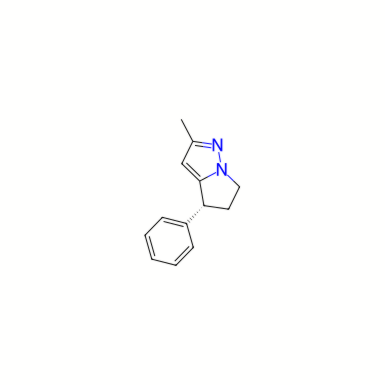 Cc1cc2n(n1)CC[C@@H]2c1ccccc1